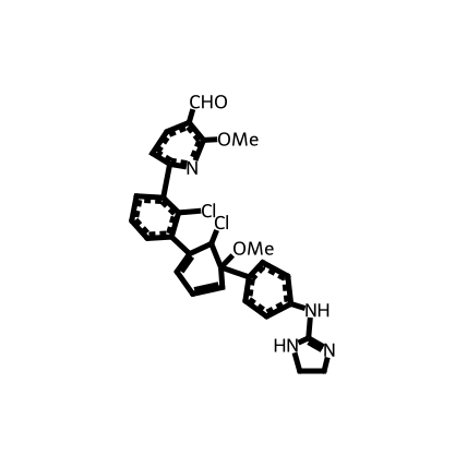 COc1nc(-c2cccc(C3=CC=CC(OC)(c4ccc(NC5=NCCN5)cc4)C3Cl)c2Cl)ccc1C=O